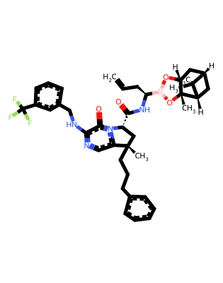 C=CC[C@H](NC(=O)[C@@H]1C[C@](C)(CCCc2ccccc2)c2cnc(NCc3cccc(C(F)(F)F)c3)c(=O)n21)B1O[C@@H]2C[C@@H]3C[C@@H](C3(C)C)[C@]2(C)O1